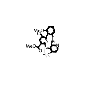 COC(=O)c1cc(Cl)c(-c2c(F)cccc2OC)nc1Nc1c(C)ccnc1C(C)C